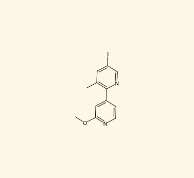 COc1cc(-c2ncc(I)cc2C)ccn1